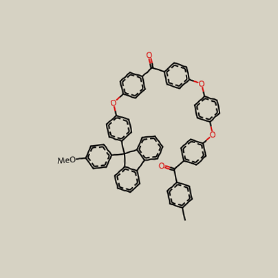 COc1ccc(C2(c3ccc(Oc4ccc(C(=O)c5ccc(Oc6ccc(Oc7ccc(C(=O)c8ccc(C)cc8)cc7)cc6)cc5)cc4)cc3)c3ccccc3-c3ccccc32)cc1